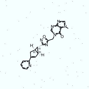 Cn1cnc2ncn(Cc3nc([C@@H]4[C@H]5C=C(c6ccccn6)C[C@H]54)no3)c(=O)c21